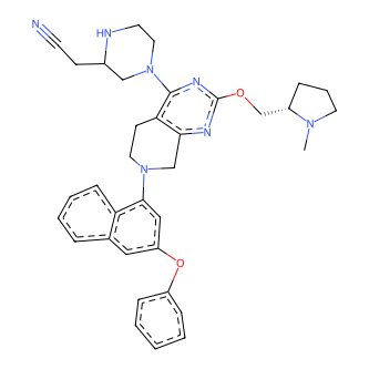 CN1CCC[C@H]1COc1nc2c(c(N3CCNC(CC#N)C3)n1)CCN(c1cc(Oc3ccccc3)cc3ccccc13)C2